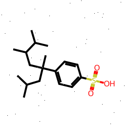 CC(C)CC(C)(CC(C)C(C)C)c1ccc(S(=O)(=O)O)cc1